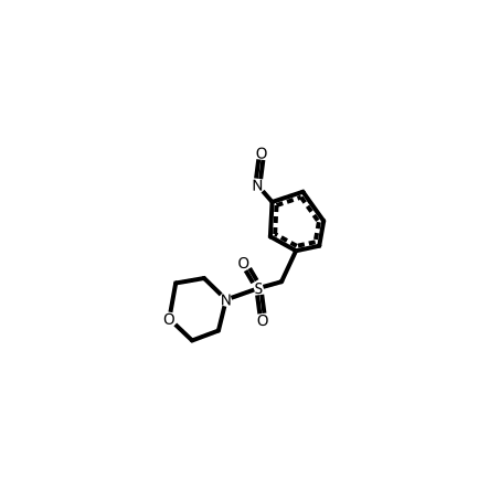 O=Nc1cccc(CS(=O)(=O)N2CCOCC2)c1